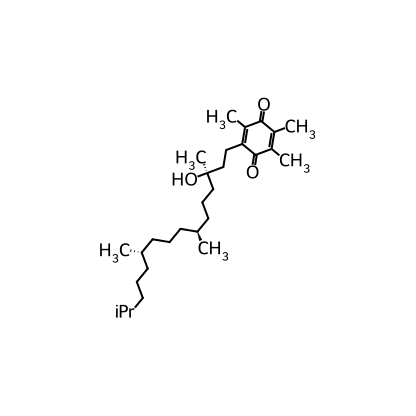 CC1=C(C)C(=O)C(CC[C@](C)(O)CCC[C@@H](C)CCC[C@@H](C)CCCC(C)C)=C(C)C1=O